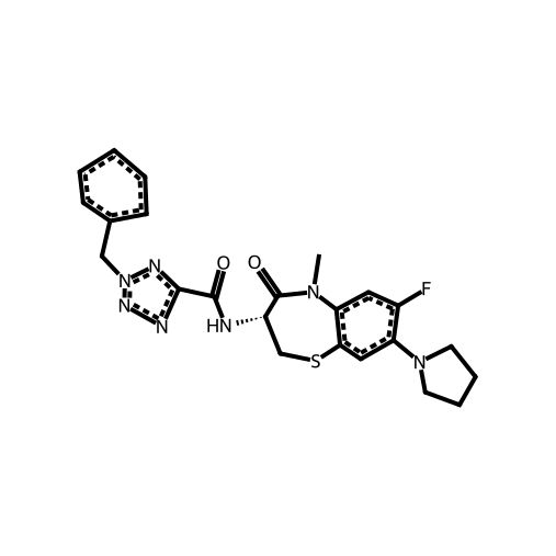 CN1C(=O)[C@@H](NC(=O)c2nnn(Cc3ccccc3)n2)CSc2cc(N3CCCC3)c(F)cc21